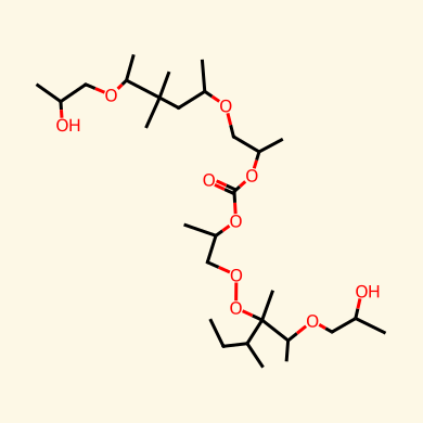 CCC(C)C(C)(OOCC(C)OC(=O)OC(C)COC(C)CC(C)(C)C(C)OCC(C)O)C(C)OCC(C)O